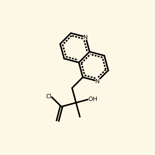 C=C(Cl)C(C)(O)Cc1nccc2ncccc12